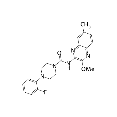 COc1nc2ccc(C)cc2nc1NC(=O)N1CCN(c2ccccc2F)CC1